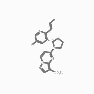 C/C=C/c1ncc(F)cc1[C@@H]1CCCN1c1ccn2ncc(C(=O)OCC)c2n1